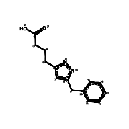 O=C(O)CCCc1cn(Cc2ccccc2)nn1